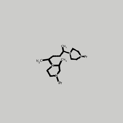 CC(C)N1CCN(C(C)CCC(C)N2CCN(C(C)C)CC2C)CC1